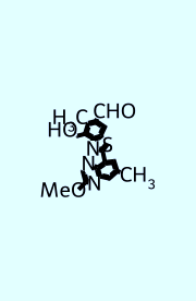 COc1cnc2c(-c3nc4c(CO)c(C)c(C=O)cc4s3)cc(C)cc2n1